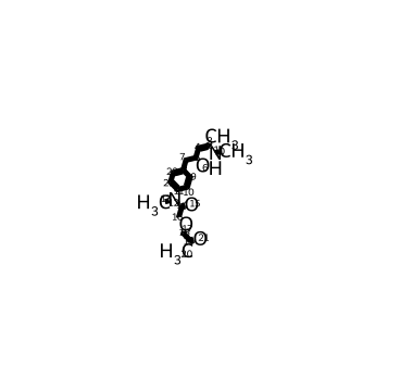 CN/C(C)=C\C(=O)Cc1ccc(N(C)C(=O)COCC(C)=O)cc1